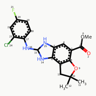 COC(=O)c1cc2c(c3c1OC(C)(C)C3)NC(Nc1ccc(F)cc1Cl)N2